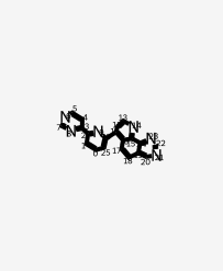 c1cc(-c2ccncn2)nc(-c2ccnc3c2ccc2cncnc23)c1